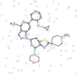 Cc1nc(-c2cnccc2OC2CC2)cc2c1cnn2-c1cc2sc(C3(F)CCN(C)CC3)nc2c(N2CCOCC2)n1